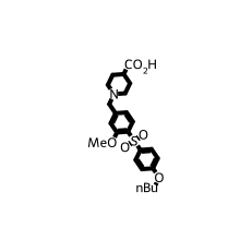 CCCCOc1ccc(S(=O)(=O)c2ccc(CN3CCC(C(=O)O)CC3)cc2OC)cc1